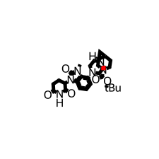 Cn1c(=O)n(C2CCC(=O)NC2=O)c2cccc(N3CCN([C@]45CCN(C(=O)OC(C)(C)C)C[C@@H]4C5)CC3)c21